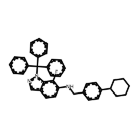 Fc1c(NCc2ccc(C3CCCCC3)cc2)ccc2cnn(C(c3ccccc3)(c3ccccc3)c3ccccc3)c12